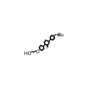 CC[C@H](C)Cc1ccc(-c2ccc(-c3ccc(OCCCO)cc3)c(F)c2)cc1